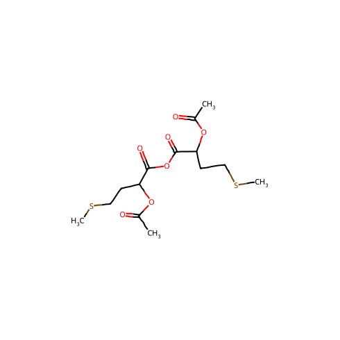 CSCCC(OC(C)=O)C(=O)OC(=O)C(CCSC)OC(C)=O